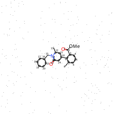 COC(=O)c1cccc(C)c1-c1cc(C)n(Cc2ccccc2)c(=O)c1